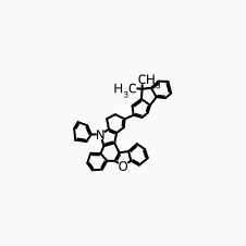 CC1(C)c2ccccc2-c2ccc(C3=Cc4c(n(-c5ccccc5)c5c6ccccc6c6oc7ccccc7c6c45)CC3)cc21